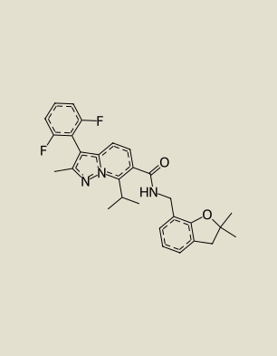 Cc1nn2c(C(C)C)c(C(=O)NCc3cccc4c3OC(C)(C)C4)ccc2c1-c1c(F)cccc1F